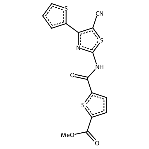 COC(=O)c1ccc(C(=O)Nc2nc(-c3cccs3)c(C#N)s2)s1